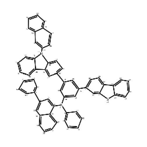 c1ccc(-c2cc(N(c3ccccc3)c3cc(-c4ccc5c(c4)sc4ccccc45)cc(-c4ccc5c(c4)c4ccccc4n5-c4ccc5ccccc5c4)c3)c3ccccc3c2)cc1